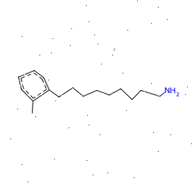 Cc1ccccc1CCCCCCCCCN